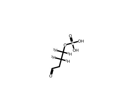 [2H]C([2H])(CC=O)C([2H])([2H])OP(=O)(O)O